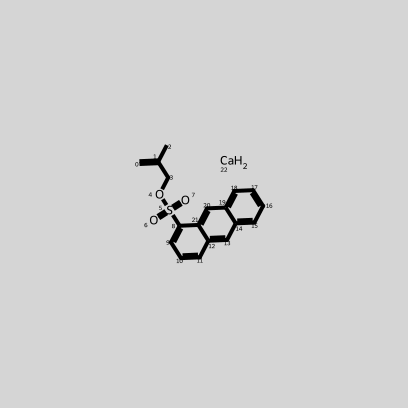 C=C(C)COS(=O)(=O)c1cccc2cc3ccccc3cc12.[CaH2]